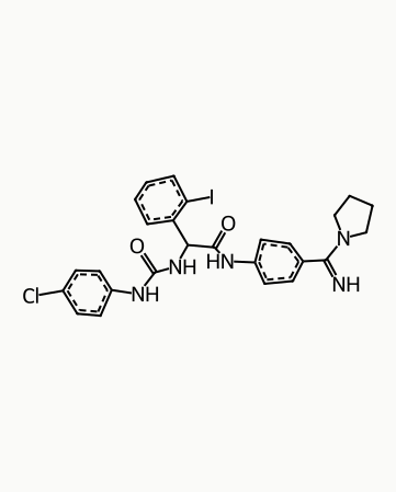 N=C(c1ccc(NC(=O)C(NC(=O)Nc2ccc(Cl)cc2)c2ccccc2I)cc1)N1CCCC1